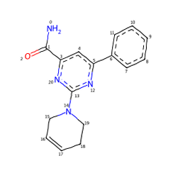 NC(=O)c1cc(-c2ccccc2)nc(N2CC=CCC2)n1